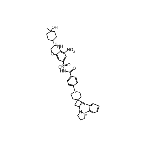 CC(C)c1ccccc1[C@H]1CCCN1C1CC2(CCN(c3ccc(C(=O)NS(=O)(=O)c4cc5c(c([N+](=O)[O-])c4)N[C@@H](C4CCC(C)(O)CC4)CO5)cc3)CC2)C1